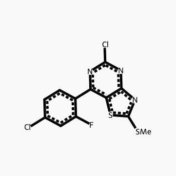 CSc1nc2nc(Cl)nc(-c3ccc(Cl)cc3F)c2s1